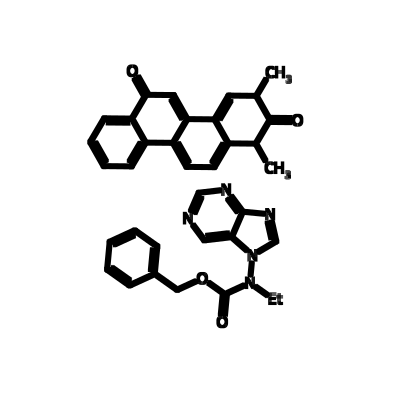 CC1C=c2c(ccc3c2=CC(=O)c2ccccc2-3)C(C)C1=O.CCN(C(=O)OCc1ccccc1)n1cnc2ncncc21